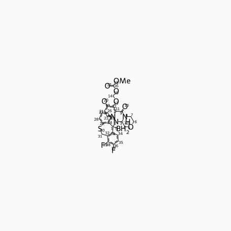 B[C@]1(N2[C@@H]3COCCN3C(=O)c3c(OCOC(=O)OC)c(=O)ccn32)c2ccccc2SCc2c1ccc(F)c2F